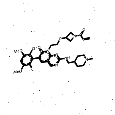 C=CC(=O)N1CC(OCCn2c(=O)c(-c3c(Cl)c(OC)cc(OC)c3Cl)cc3cnc(NCC4CCN(C)CC4)nc32)C1